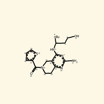 CCCCC(CCO)Nc1nc(N)nc2c1CN(C(=O)c1cccs1)CC2